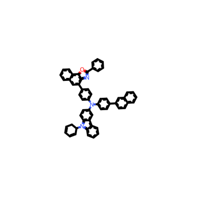 C1=CCC(n2c3ccccc3c3cc(N(c4ccc(-c5ccc6ccccc6c5)cc4)c4ccc(-c5cc6ccccc6c6oc(-c7ccccc7)nc56)cc4)ccc32)C=C1